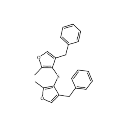 Cc1occ(Cc2ccccc2)c1Sc1c(Cc2ccccc2)coc1C